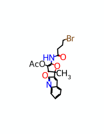 CC(=O)OC1=C(NC(=O)CCCBr)OC(C)(c2cnc3ccccc3c2)C1=O